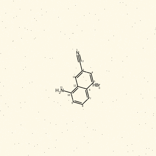 Br.N#Cc1ccc2cccc(N)c2c1